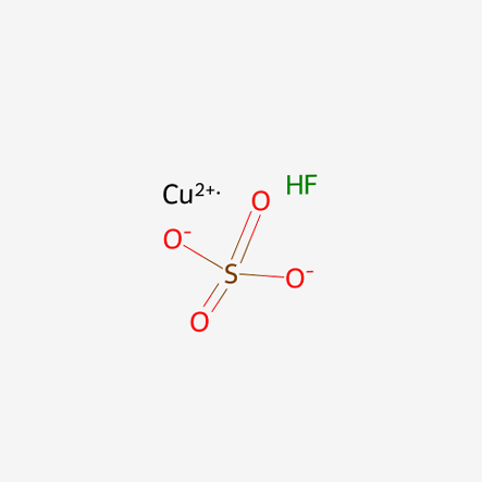 F.O=S(=O)([O-])[O-].[Cu+2]